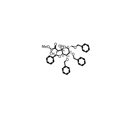 CON(C)C(=O)C(F)[C@]1(O)O[C@H](COCc2ccccc2)[C@H](OCc2ccccc2)[C@H](OCc2ccccc2)[C@H]1OCc1ccccc1